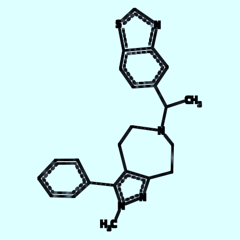 CC(c1ccc2scnc2c1)N1CCc2nn(C)c(-c3ccccc3)c2CC1